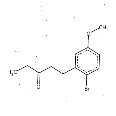 CCC(=O)CCc1cc(OC)ccc1Br